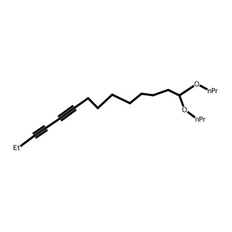 CCC#CC#CCCCCCCCC(OCCC)OCCC